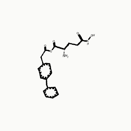 N[C@@H](CCC(=O)NO)C(=O)OC(=O)Cc1ccc(-c2ccccc2)cc1